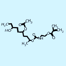 C=C(C)C(=O)OCCNC(=O)OC(C)CCC(CCC(O)CC)OC(C)=O